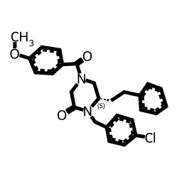 COc1ccc(C(=O)N2CC(=O)N(Cc3ccc(Cl)cc3)[C@@H](CCc3ccccc3)C2)cc1